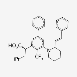 CC(C)C[C@@H](C(=O)O)c1cc(-c2ccccc2)cc(N2CCCCC2C=Cc2ccccc2)c1C(F)(F)F